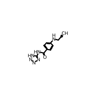 C#CCNc1ccc(C(=O)Nc2nnn[nH]2)cc1